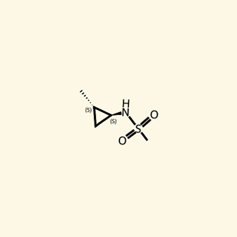 C[C@H]1C[C@@H]1NS(C)(=O)=O